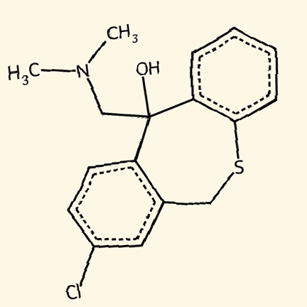 CN(C)CC1(O)c2ccc(Cl)cc2CSc2ccccc21